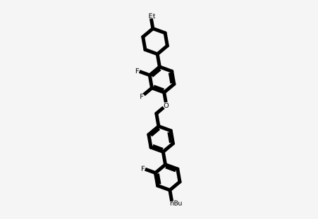 CCCCC1C=C(F)C(c2ccc(COc3ccc(C4CCC(CC)CC4)c(F)c3F)cc2)=CC1